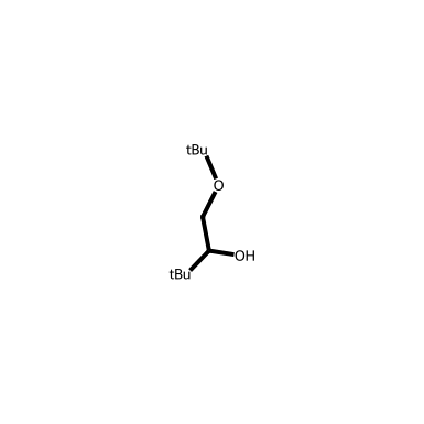 CC(C)(C)OCC(O)C(C)(C)C